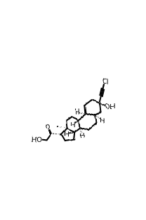 C[C@]12CC[C@H]3[C@@H](CC[C@@H]4C[C@@](O)(C#CCl)CC[C@@H]43)[C@@H]1CC[C@@H]2C(=O)CO